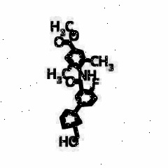 COC(=O)c1cc(C)c(NC(=O)c2cc(-c3cccc(CO)c3)ccc2F)c(C)c1